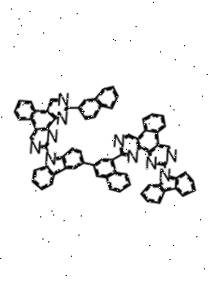 c1ccc2cc(-c3ncc4c5ccccc5c5cnc(-n6c7ccccc7c7cc(-c8cc(-c9ncc%10c%11ccccc%11c%11cnc(-n%12c%13ccccc%13c%13ccccc%13%12)nc%11c%10n9)c9ccccc9c8)ccc76)nc5c4n3)ccc2c1